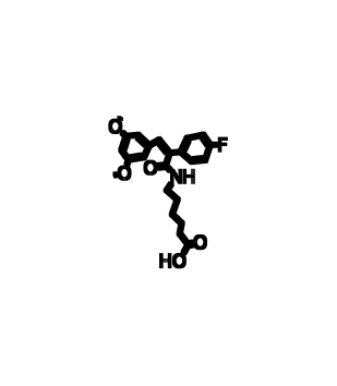 COc1cc(C=C(C(=O)NCCCCCC(=O)O)c2ccc(F)cc2)cc(OC)c1